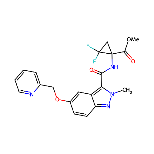 COC(=O)C1(NC(=O)c2c3cc(OCc4ccccn4)ccc3nn2C)CC1(F)F